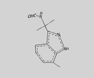 Cc1cccc2c(C(C)(C)NC=O)n[nH]c12